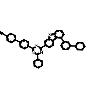 N#Cc1ccc(-c2ccc(-c3nc(-c4ccccc4)nc(-c4ccc5c(c4)sc4cccc(-c6cccc(-c7ccccc7)c6)c45)n3)cc2)cc1